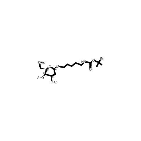 CCC(C)(C)OC(=O)NCCCCCO[C@H]1C[C@@H](OC(C)=O)[C@@H](OC(C)=O)[C@@H](COC(C)=O)O1